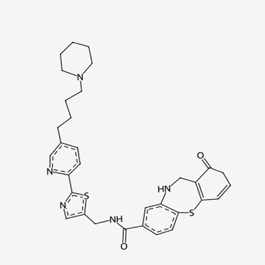 O=C1CC=CC2=C1CNc1cc(C(=O)NCc3cnc(-c4ccc(CCCCN5CCCCC5)cn4)s3)ccc1S2